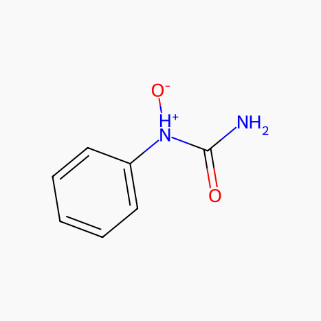 NC(=O)[NH+]([O-])c1ccccc1